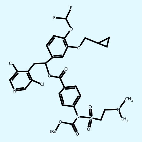 CN(C)CCS(=O)(=O)N(C(=O)OC(C)(C)C)c1ccc(C(=O)OC(Cc2c(Cl)cncc2Cl)c2ccc(OC(F)F)c(OCC3CC3)c2)cc1